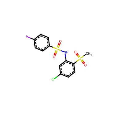 CS(=O)(=O)c1ccc(Cl)cc1NS(=O)(=O)c1ccc(I)cc1